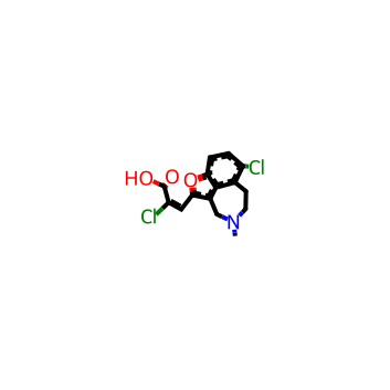 CN1CCc2c(Cl)ccc3oc(/C=C(/Cl)C(=O)O)c(c23)C1